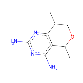 CC1COC(C)c2c(N)nc(N)nc21